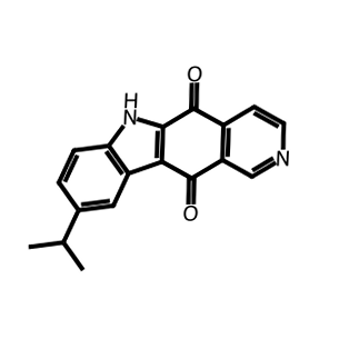 CC(C)c1ccc2[nH]c3c(c2c1)C(=O)c1cnccc1C3=O